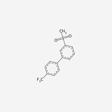 CS(=O)(=O)c1cc[c]c(-c2ccc(C(F)(F)F)cc2)c1